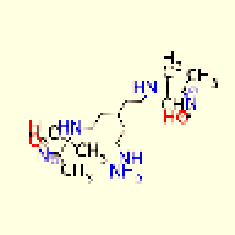 C/C(=N/O)C(C)(C)NCCC(CCNN)CCNC(C)(C)/C(C)=N\O